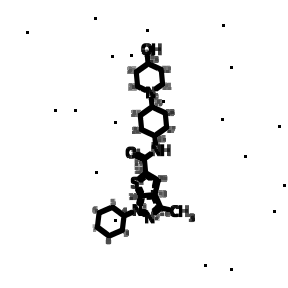 Cc1nn(C2CCCCC2)c2sc(C(=O)NC3CCC(N4CCC(O)CC4)CC3)cc12